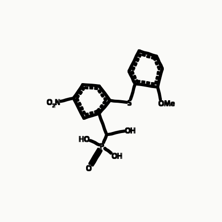 COc1ccccc1Sc1ccc([N+](=O)[O-])cc1C(O)P(=O)(O)O